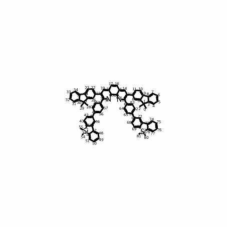 CC1(C)c2ccccc2-c2ccc(-c3cc4ccc5cc(-c6ccc7c(c6)C(C)(C)c6ccccc6-7)c(-c6ccc(-c7ccc8c(c7)-c7ccccc7[Si]8(C)C)cc6)nc5c4nc3-c3ccc(-c4ccc5c(c4)-c4ccccc4[Si]5(C)C)cc3)cc21